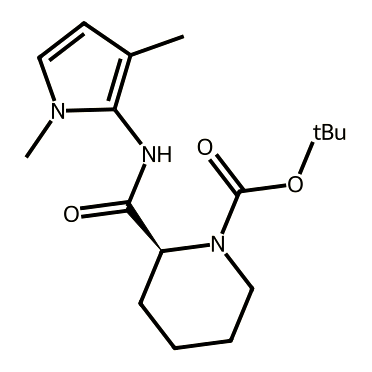 Cc1ccn(C)c1NC(=O)[C@@H]1CCCCN1C(=O)OC(C)(C)C